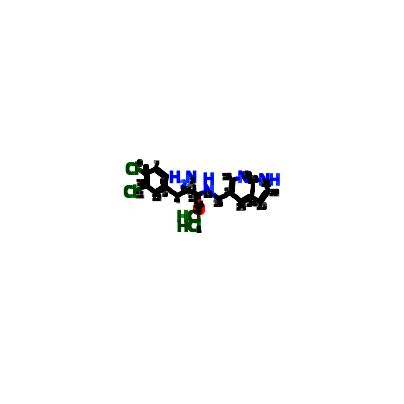 Cl.Cl.N[C@@H](Cc1ccc(Cl)c(Cl)c1)C(=O)NCc1cnc2[nH]ccc2c1